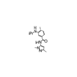 Cc1cc(NC(=O)c2ccc(C)c(NC(C)C)c2)n(C)n1